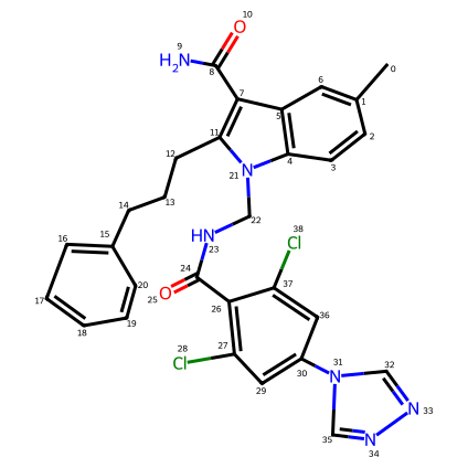 Cc1ccc2c(c1)c(C(N)=O)c(CCCc1ccccc1)n2CNC(=O)c1c(Cl)cc(-n2cnnc2)cc1Cl